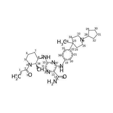 C=CC(=O)N1CCC[C@@H](Nc2cnc(C(N)=O)c(Nc3ccc(C4(C)CCN(C5CCCC5)CC4)cc3)n2)[C@H]1C